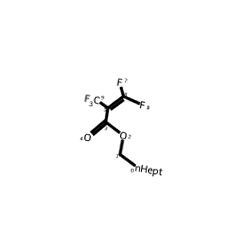 CCCCCCCCOC(=O)C(=C(F)F)C(F)(F)F